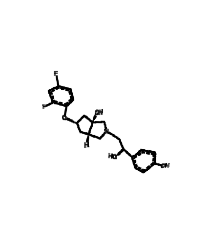 Oc1ccc(C(O)CN2C[C@@H]3C[C@@H](Oc4ccc(F)cc4F)C[C@]3(O)C2)cc1